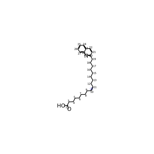 O=C(O)CCCCCCC/C=C\CCCCCCCCc1ccc2ccccc2n1